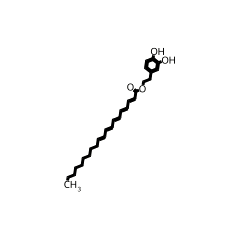 CCCCCCCCC/C=C/C=C/C=C/C=C/C=C/C(=O)OCCc1ccc(O)c(O)c1